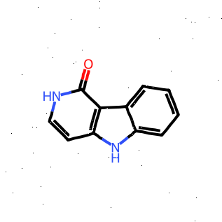 O=c1[nH]ccc2[nH]c3ccccc3c12